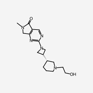 CN1Cc2nc(N3CC([C@H]4CCCN(CCO)C4)C3)ncc2C1=O